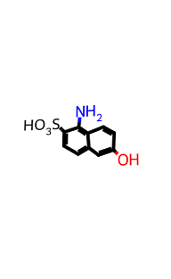 Nc1c(S(=O)(=O)O)ccc2cc(O)ccc12